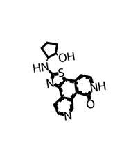 O=c1[nH]ccc2c3sc(N[C@@H]4CCC[C@H]4O)nc3c3ccncc3c12